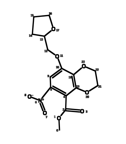 COC(=O)c1c([N+](=O)[O-])cc(OCC2CCCO2)c2c1OCCO2